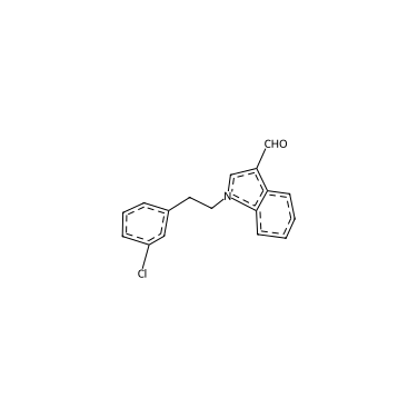 O=Cc1cn(CCc2cccc(Cl)c2)c2ccccc12